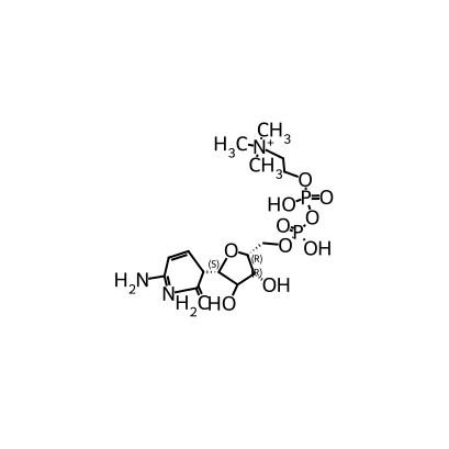 C=C1N=C(N)C=CC1[C@@H]1O[C@H](COP(=O)(O)OP(=O)(O)OCC[N+](C)(C)C)[C@H](O)C1O